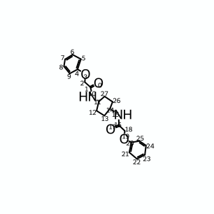 O=C(COc1ccccc1)N[C@H]1CC[C@H](NC(=O)COc2ccccc2)CC1